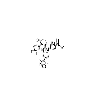 Cc1noc(C)c1-c1ccc2c(c1)nc([C@@H]1CCCC(=O)N1c1ccc(F)c(F)c1)n2-c1ccc(NC2CC2)nc1